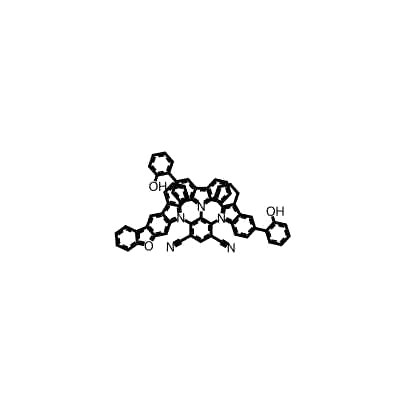 N#Cc1cc(C#N)c(-n2c3ccccc3c3cc4c(cc32)oc2ccccc24)c(-n2c3ccccc3c3cc(-c4ccccc4O)ccc32)c1-n1c2c(c3cc(-c4ccccc4O)ccc31)CCC=C2